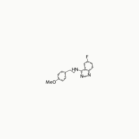 COc1ccc(CCNc2ncnc3ccc(F)cc23)cc1